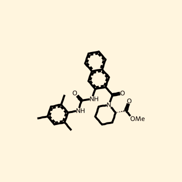 COC(=O)[C@@H]1CCCCN1C(=O)c1cc2ccccc2cc1NC(=O)Nc1c(C)cc(C)cc1C